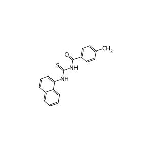 Cc1ccc(C(=O)NC(=S)Nc2cccc3ccccc23)cc1